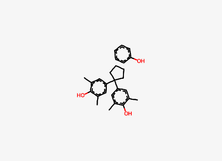 Cc1cc(C2(c3cc(C)c(O)c(C)c3)CCCC2)cc(C)c1O.Oc1ccccc1